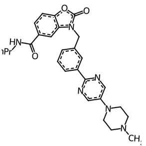 CCCNC(=O)c1ccc2oc(=O)n(Cc3cccc(-c4ncc(N5CCN(C)CC5)cn4)c3)c2c1